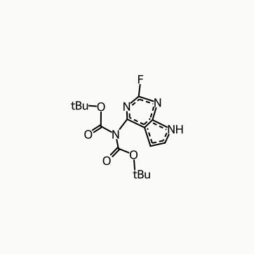 CC(C)(C)OC(=O)N(C(=O)OC(C)(C)C)c1nc(F)nc2[nH]ccc12